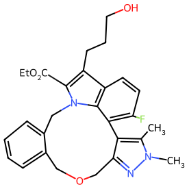 CCOC(=O)c1c(CCCO)c2ccc(F)c3c2n1Cc1ccccc1COCc1nn(C)c(C)c1-3